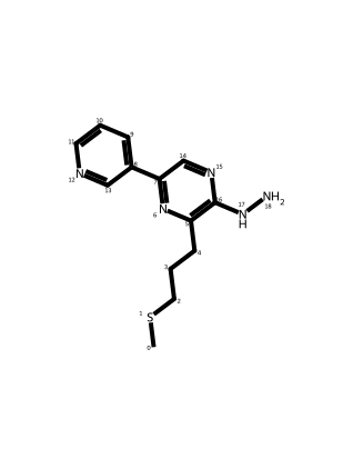 CSCCCc1nc(-c2cccnc2)cnc1NN